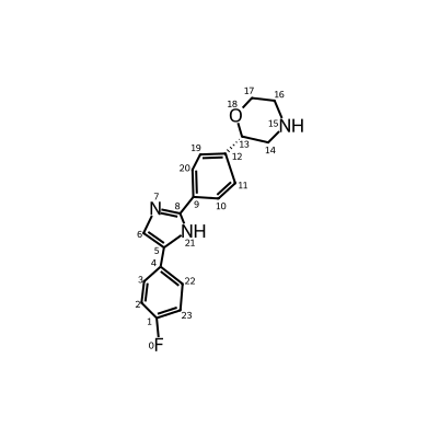 Fc1ccc(-c2cnc(-c3ccc([C@H]4CNCCO4)cc3)[nH]2)cc1